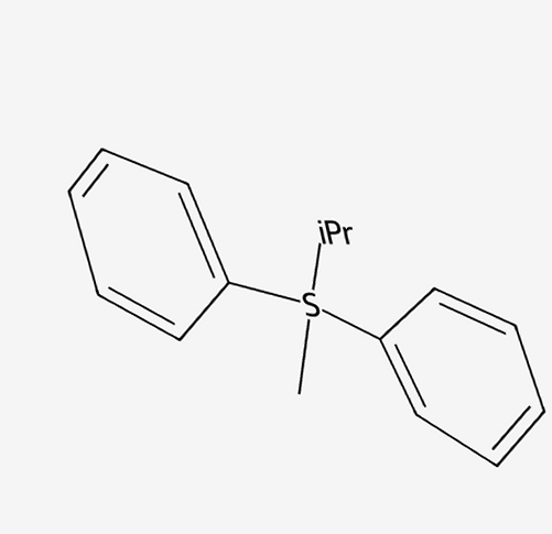 CC(C)S(C)(c1ccccc1)c1ccccc1